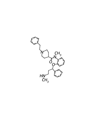 CNCCC(Oc1ccccc1N(C)C(=O)C1CCN(CCc2ccccc2)CC1)c1ccccc1